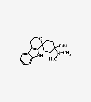 CCCCC1(N(C)C)CCC2(CC1)OCCc1c2[nH]c2ccccc12